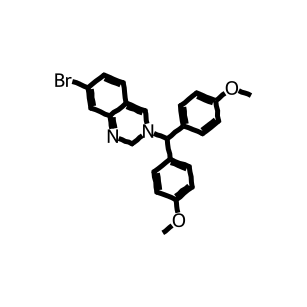 COc1ccc(C(c2ccc(OC)cc2)N2C=c3ccc(Br)cc3=NC2)cc1